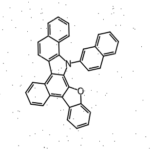 c1ccc2cc(-n3c4c5ccccc5ccc4c4c5ccccc5c5c6ccccc6oc5c43)ccc2c1